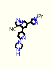 CC(C)n1cc(-c2cc(-c3ccc(N4CCNCC4)nc3)c3c(C#N)cnn3c2)cn1